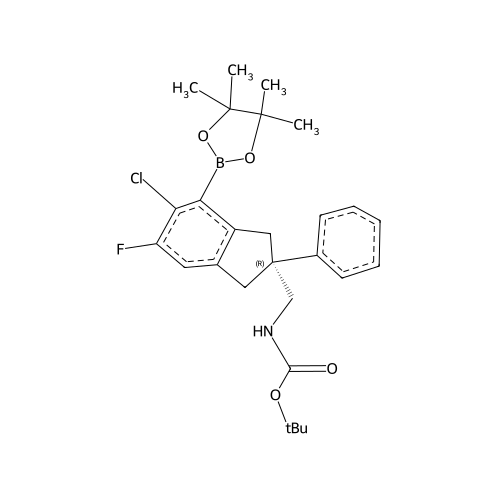 CC(C)(C)OC(=O)NC[C@]1(c2ccccc2)Cc2cc(F)c(Cl)c(B3OC(C)(C)C(C)(C)O3)c2C1